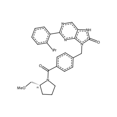 COC[C@H]1CCCN1C(=O)c1ccc(Cn2c(=O)[nH]c3cnc(-c4ccccc4C(C)C)nc32)cc1